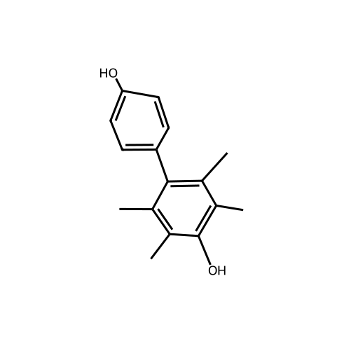 Cc1c(C)c(-c2ccc(O)cc2)c(C)c(C)c1O